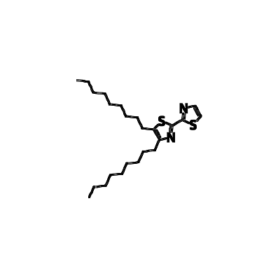 CCCCCCCCCc1nc(-c2nccs2)sc1CCCCCCCCC